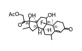 CC(=O)OCC(=O)[C@@]1(O)C(C)C[C@H]2[C@@H]3CC(C)C4=CC(=O)CC[C@]4(C)[C@@]3(F)C(O)C[C@@]21C